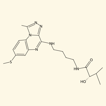 CSc1ccc2c(c1)nc(NCCCCNC(=O)[C@@H](O)C(C)C)c1nnc(C)n12